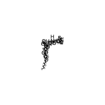 CCCCCCCOc1ccc(C(=O)Oc2ccc(CN(CC(=O)O)C(=O)c3ccc(NC(=O)Cc4ccc(OC)c(C(C)(F)F)c4)cc3)cc2)cc1